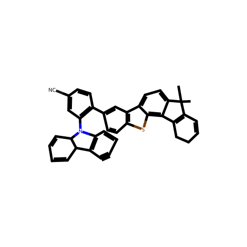 CC1(C)C2=C(CCC=C2)c2c1ccc1c2sc2ccc(-c3ccc(C#N)cc3N3c4ccc#cc4C4C=CC=CC43)cc21